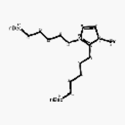 CCCCCCCCCCCCCCCc1n(C(C)C)cc[n+]1CCCCCCCCCCCCCCC